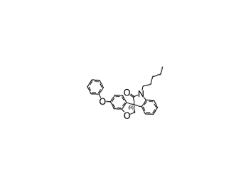 CCCCCN1C(=O)[C@]2(COc3cc(Oc4ccccc4)ccc32)c2ccccc21